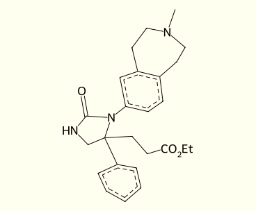 CCOC(=O)CCC1(c2ccccc2)CNC(=O)N1c1ccc2c(c1)CCN(C)CC2